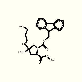 CSCCCNC1(C(=O)O)CC(C(=O)OC(C)(C)C)N(C(=O)OCC2c3ccccc3-c3ccccc32)C1